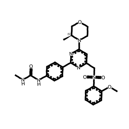 CNC(=O)Nc1ccc(-c2nc(CS(=O)(=O)c3ccccc3OC)cc(N3CCOC[C@@H]3C)n2)cc1